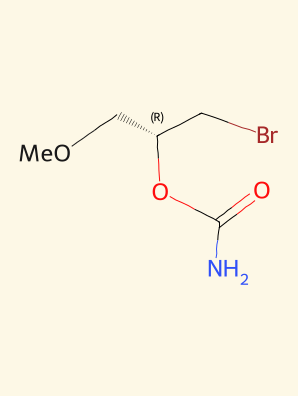 COC[C@H](CBr)OC(N)=O